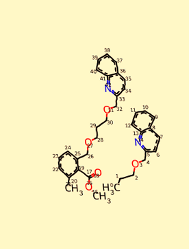 CCCOCc1ccc2ccccc2n1.COC(=O)c1c(C)cccc1COCCCOCc1ccc2ccccc2n1